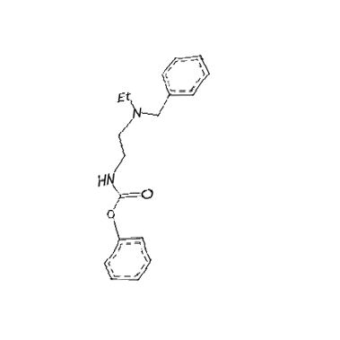 CCN(CCNC(=O)Oc1ccccc1)Cc1ccccc1